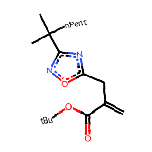 C=C(Cc1nc(C(C)(C)CCCCC)no1)C(=O)OC(C)(C)C